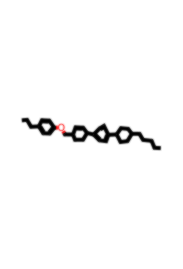 CCCCCC1CCC(c2ccc(C3C=CC(COc4ccc(CCC)cc4)CC3)cc2)CC1